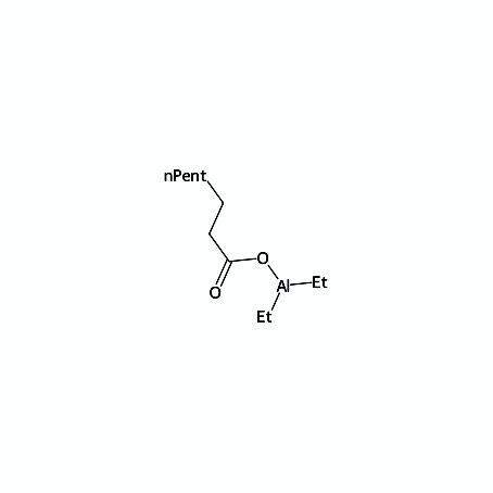 CCCCCCCC(=O)[O][Al]([CH2]C)[CH2]C